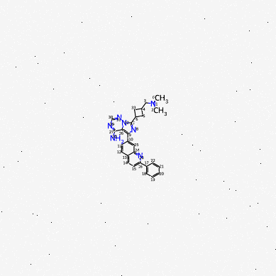 CN(C)CC1CC(c2nc(-c3ccc4ccc(-c5ccccc5)nc4c3)c3c(N)ncnn23)C1